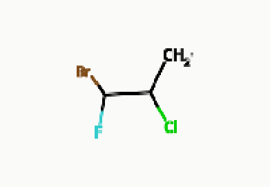 [CH2]C(Cl)C(F)Br